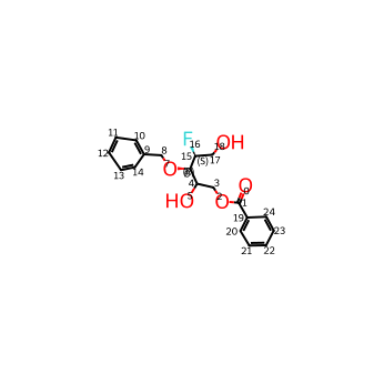 O=C(OCC(O)[C@@H](OCc1ccccc1)[C@@H](F)CO)c1ccccc1